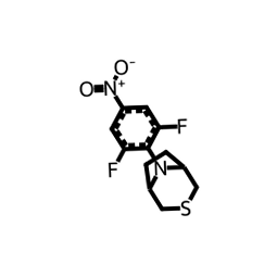 O=[N+]([O-])c1cc(F)c(N2C3CCC2CSC3)c(F)c1